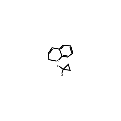 C1=Cc2ccccc2OC1.ClC1(Cl)CC1